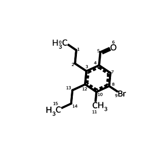 CCCc1c(C=O)cc(Br)c(C)c1CCC